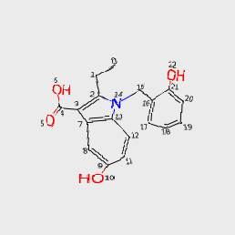 CCc1c(C(=O)O)c2cc(O)ccc2n1Cc1ccccc1O